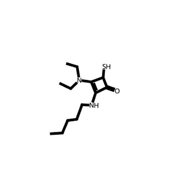 CCCCCNC1=C(N(CC)CC)C(S)C1=O